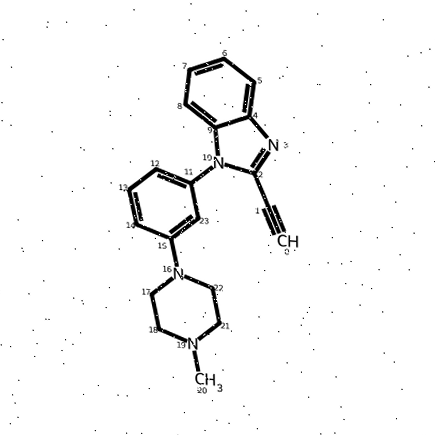 C#Cc1nc2ccccc2n1-c1cccc(N2CCN(C)CC2)c1